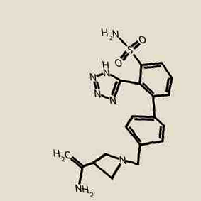 C=C(N)C1CN(Cc2ccc(-c3cccc(S(N)(=O)=O)c3-c3nnn[nH]3)cc2)C1